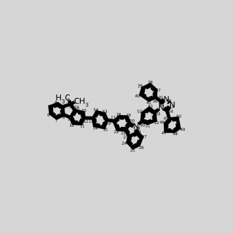 CC1(C)c2ccccc2-c2ccc(-c3ccc(-c4ccc5c(c4)c4ccccc4n5-c4ccc(-n5c(-c6ccccc6)nnc5-c5ccccc5)cc4)cc3)cc21